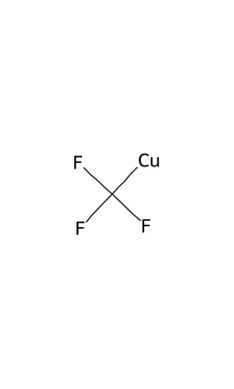 F[C](F)(F)[Cu]